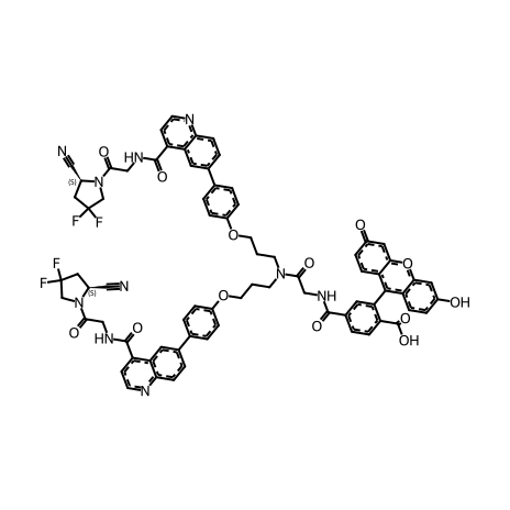 N#C[C@@H]1CC(F)(F)CN1C(=O)CNC(=O)c1ccnc2ccc(-c3ccc(OCCCN(CCCOc4ccc(-c5ccc6nccc(C(=O)NCC(=O)N7CC(F)(F)C[C@H]7C#N)c6c5)cc4)C(=O)CNC(=O)c4ccc(C(=O)O)c(-c5c6ccc(=O)cc-6oc6cc(O)ccc56)c4)cc3)cc12